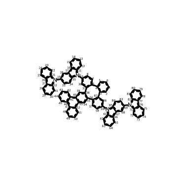 c1ccc2c(c1)-c1ccc(-n3c4ccccc4c4cc(-n5c6ccccc6c6ccccc65)ccc43)cc1-c1cc3c4ccccc4c4ccccc4c3cc1-c1ccc(-n3c4ccccc4c4cc(-n5c6ccccc6c6ccccc65)ccc43)cc1-2